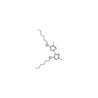 CCCCCCOc1cc(-c2sc(C)cc2OCCCCCC)sc1C